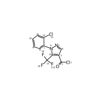 O=C(Cl)c1cnn(-c2ccccc2Cl)c1C(F)(F)F